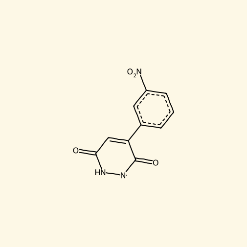 O=C1C=C(c2cccc([N+](=O)[O-])c2)C(=O)[N]N1